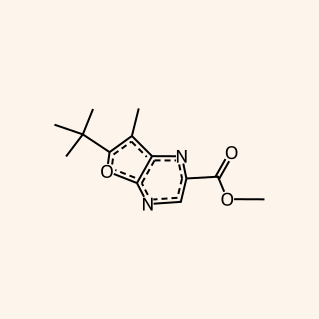 COC(=O)c1cnc2oc(C(C)(C)C)c(C)c2n1